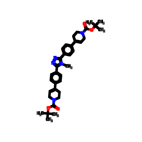 Cn1c(-c2ccc(C3=CCN(C(=O)OC(C)(C)C)CC3)cc2)nnc1-c1ccc(C2=CCN(C(=O)OC(C)(C)C)CC2)cc1